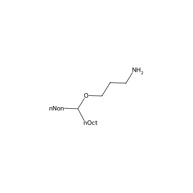 CCCCCCCCCC(CCCCCCCC)OCCCN